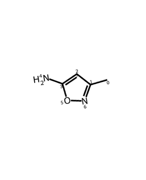 Cc1[c]c(N)on1